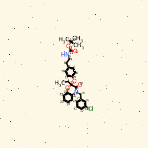 CCC1(Oc2ccc(CCNC(=O)OC(C)(C)C)cc2)Oc2ccccc2N(Cc2cccc(Cl)c2)C1=O